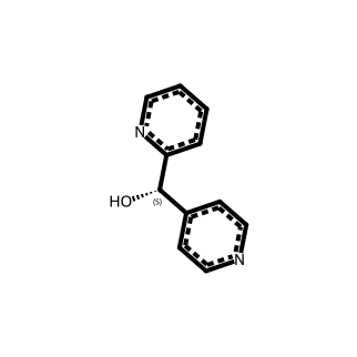 O[C@@H](c1ccncc1)c1ccccn1